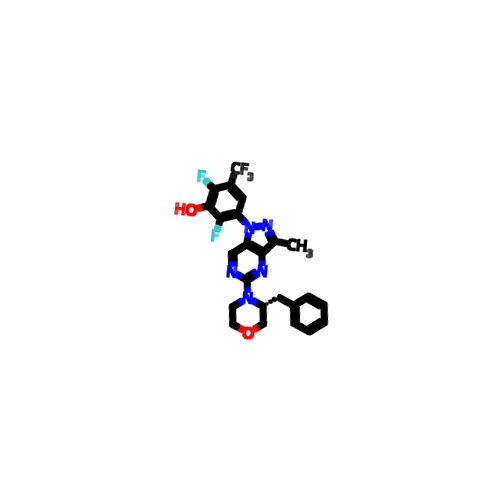 Cc1nn(-c2cc(C(F)(F)F)c(F)c(O)c2F)c2cnc(N3CCOC[C@H]3Cc3ccccc3)nc12